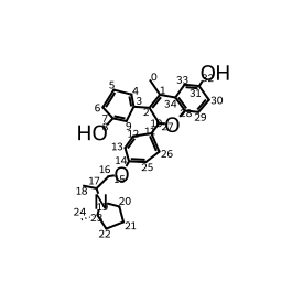 CC1=C(c2cccc(O)c2)C(c2ccc(OCC(C)N3CCC[C@@H]3C)cc2)Oc2ccc(O)cc21